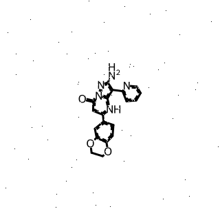 Nc1nn2c(=O)cc(-c3ccc4c(c3)OCCO4)[nH]c2c1-c1ccccn1